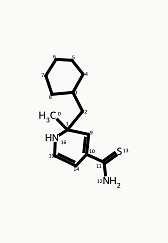 CC1(CC2CCCCC2)C=C(C(N)=S)C=CN1